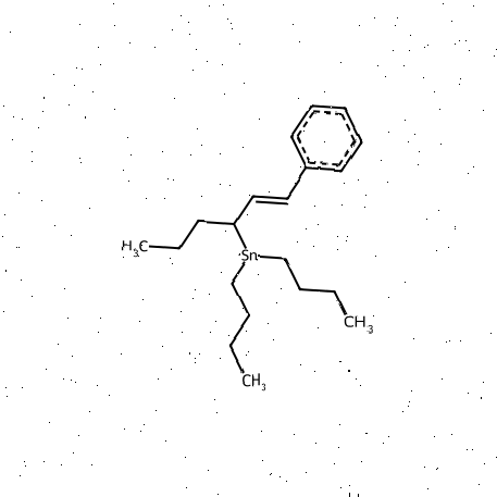 CCC[CH2][Sn]([CH2]CCC)[CH](C=Cc1ccccc1)CCC